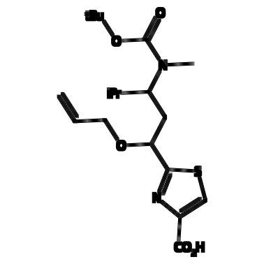 C=CCOC(CC(C(C)C)N(C)C(=O)OC(C)(C)C)c1nc(C(=O)O)cs1